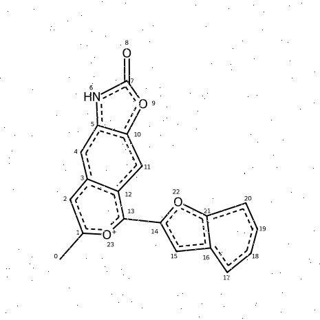 Cc1cc2cc3[nH]c(=O)oc3cc2c(-c2cc3ccccc3o2)[o+]1